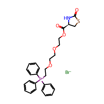 O=C1N[C@H](C(=O)OCCOCCOCC[P+](c2ccccc2)(c2ccccc2)c2ccccc2)CS1.[Br-]